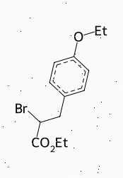 CCOC(=O)C(Br)Cc1ccc(OCC)cc1